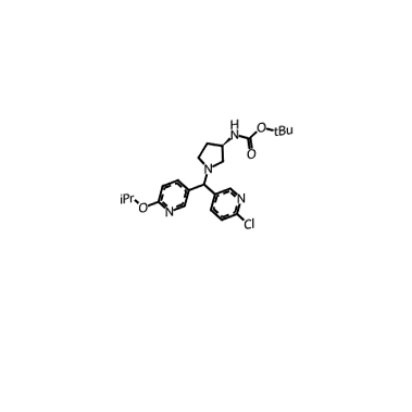 CC(C)Oc1ccc(C(c2ccc(Cl)nc2)N2CC[C@@H](NC(=O)OC(C)(C)C)C2)cn1